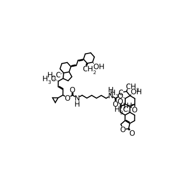 C=C1/C(=C\C=C2/CCC[C@@]3(C)C2CCC3[C@@H](C)/C=C/C(OC(=O)NCCCCCCNC(=O)O[C@H]2[C@]34O[C@H]3CC3C5=C(CC[C@]3(C)[C@@]43O[C@H]3C[C@@]2(O)C(C)C)C(=O)OC5)C2CC2)CCC[C@@H]1O